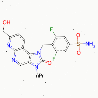 CCCn1c(=O)n(Cc2c(F)cc(S(N)(=O)=O)cc2F)c2c3ccc(CO)nc3ncc21